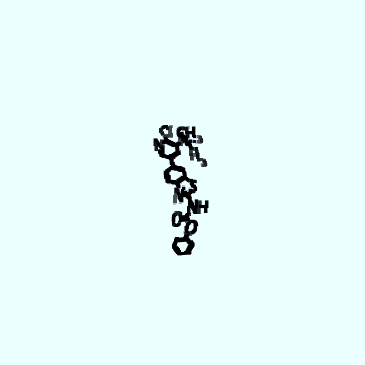 CN(C)c1cc(-c2ccc3nc(NC(=O)Oc4ccccc4)sc3c2)cnc1Cl